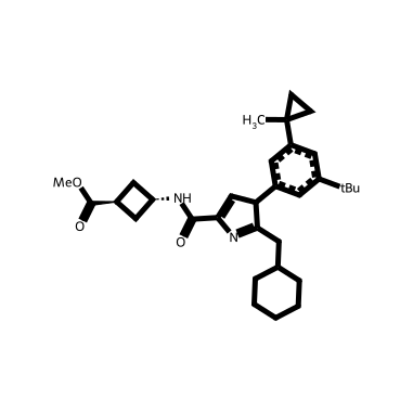 COC(=O)[C@H]1C[C@H](NC(=O)C2=CC(c3cc(C(C)(C)C)cc(C4(C)CC4)c3)C(CC3CCCCC3)=N2)C1